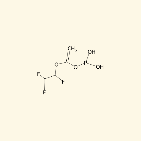 C=C(OC(F)C(F)F)OP(O)O